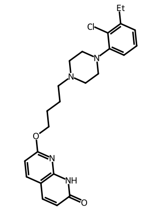 CCc1cccc(N2CCN(CCCCOc3ccc4ccc(=O)[nH]c4n3)CC2)c1Cl